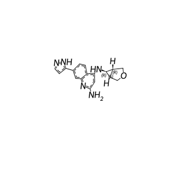 Nc1cc(N[C@H]2[C@@H]3COC[C@@H]32)c2ccc(-c3ccn[nH]3)cc2n1